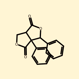 O=C1OC(c2ccccc2)C2(c3ccccc3)C(=O)OCC12